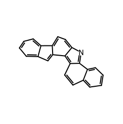 C1=c2c(ccc3c2=c2ccc4ccccc4c2=N3)-c2ccccc21